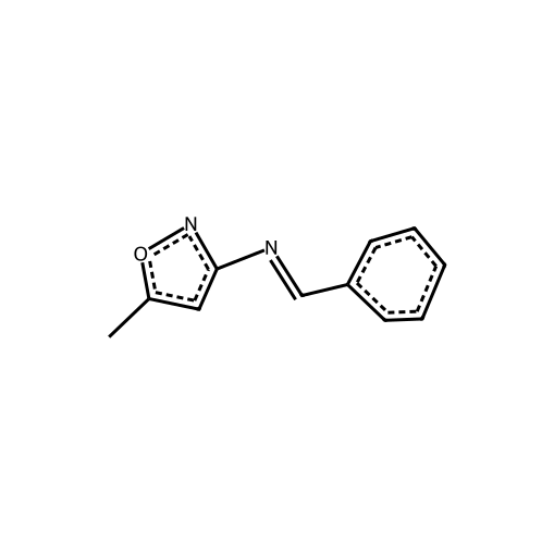 Cc1cc(/N=C/c2ccccc2)no1